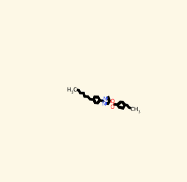 CCCCCCCc1ccc(-c2ncc(OC(=O)c3ccc(CCC)cc3)cn2)cc1